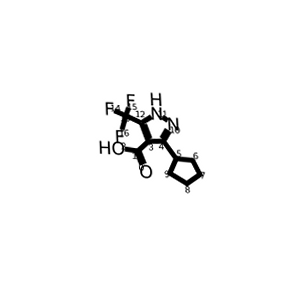 O=C(O)c1c(C2CCCC2)n[nH]c1C(F)(F)F